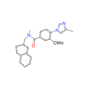 COc1cc(C(=O)N(C)Cc2ccc3ccccc3c2)ccc1-n1cnc(C)c1